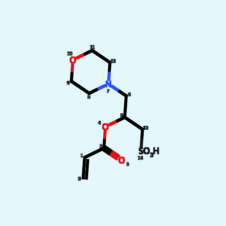 C=CC(=O)OC(CN1CCOCC1)CS(=O)(=O)O